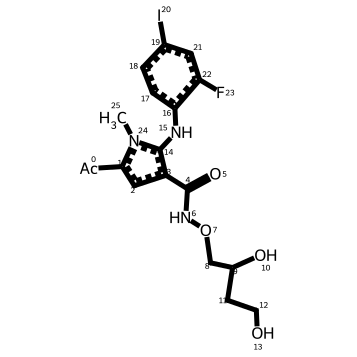 CC(=O)c1cc(C(=O)NOCC(O)CCO)c(Nc2ccc(I)cc2F)n1C